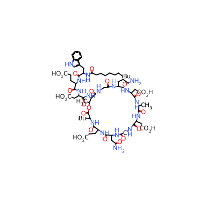 CCC(C)CCCCCCC(=O)NC(Cc1c[nH]c2ccccc12)C(=O)NC(CCC(=O)O)C(=O)NC(CC(=O)O)C(=O)NC1C(=O)NCC(=O)NC(CCCN)C(=O)NC(CC(=O)O)C(=O)NC(C)C(=O)NC(CC(=O)O)C(=O)NCC(=O)NC(CC(N)=O)C(=O)NC(CCC(=O)O)C(=O)NC(C(C)CC)C(=O)OC1C